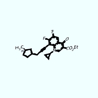 CCOC(=O)c1cn(C2CC2)c2c(C#CCC3CC[C@@H](C)C3)c(F)c(F)cc2c1=O